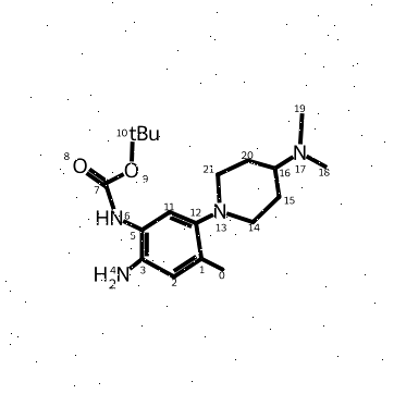 Cc1cc(N)c(NC(=O)OC(C)(C)C)cc1N1CCC(N(C)C)CC1